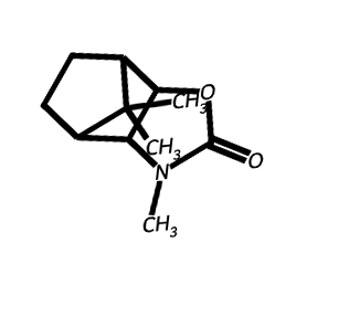 CN1C(=O)OC2C1C1CCC2C1(C)C